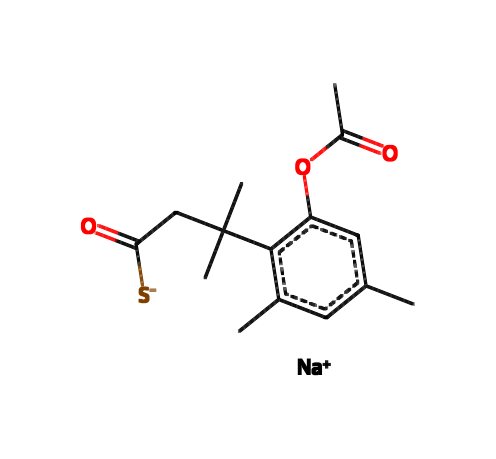 CC(=O)Oc1cc(C)cc(C)c1C(C)(C)CC(=O)[S-].[Na+]